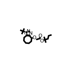 CCCC(C)(C)OC(=O)COC1CCCCCc2c1nnn2C(C)(C)C